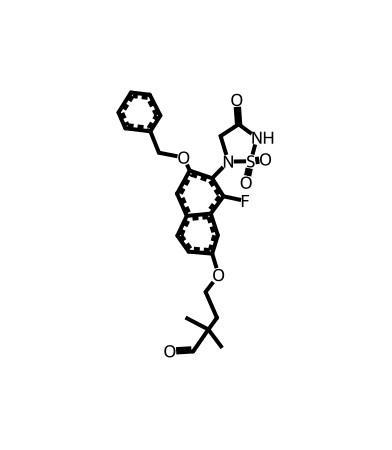 CC(C)(C=O)CCOc1ccc2cc(OCc3ccccc3)c(N3CC(=O)NS3(=O)=O)c(F)c2c1